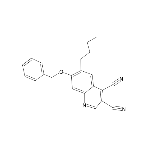 CCCCc1cc2c(C#N)c(C#N)cnc2cc1OCc1ccccc1